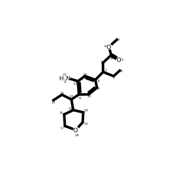 CCC(CC(=O)OC)c1ccc(C(CC)C2CCOCC2)c(N)c1